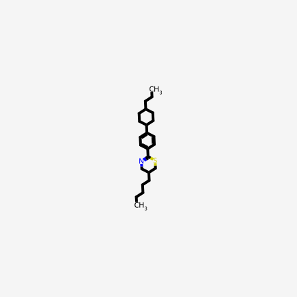 CCCCCC1CN=C(c2ccc(C3CCC(CCC)CC3)cc2)SC1